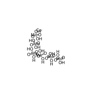 [Co].[O]=[Mo](=[O])([OH])[OH].[O]=[Mo](=[O])([OH])[OH].[O]=[Mo](=[O])([OH])[OH].[O]=[Mo](=[O])([OH])[OH].[O]=[Mo](=[O])([OH])[OH].[O]=[Mo](=[O])([OH])[OH]